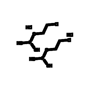 Cl.Cl.OP(O)OCCCl.OP(O)OCCCl